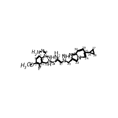 COc1ccc(N(N)/C=N\N)c(CNS/C(N)=C/N(N)Cc2cn3cc(C4CC4)ccc3n2)c1F